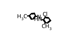 Cc1ccc([N]Nc2c(C)cccc2Cl)cc1